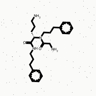 NCCC[C@@H](C(=O)NCCCc1ccccc1)N(CCCc1ccccc1)C(=O)CN